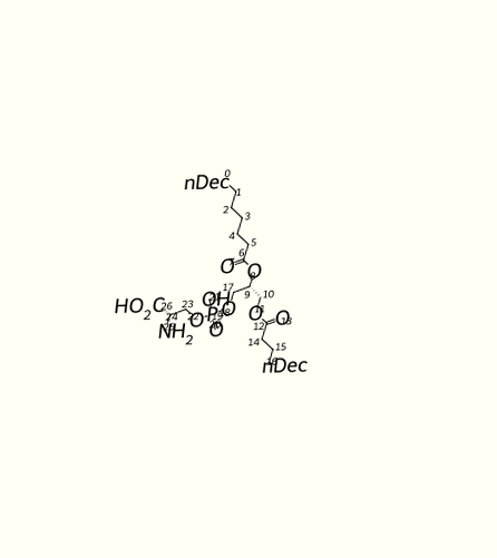 CCCCCCCCCCCCCCCC(=O)O[C@H](COC(=O)CCCCCCCCCCCC)COP(=O)(O)OC[C@H](N)C(=O)O